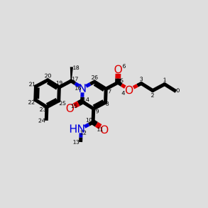 CCCCOC(=O)c1cc(C(=O)NC)c(=O)n([C@H](C)c2cccc(C)c2)c1